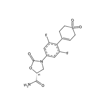 NC(=O)[C@H]1CN(c2cc(F)c(C3=CCS(=O)(=O)CC3)c(F)c2)C(=O)O1